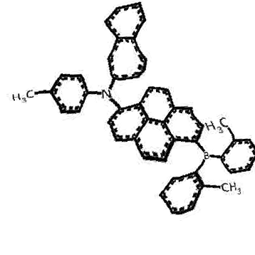 Cc1ccc(N(c2ccc3ccccc3c2)c2ccc3ccc4c(B(c5ccccc5C)c5ccccc5C)ccc5ccc2c3c54)cc1